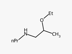 CCCNCC(C)OCC